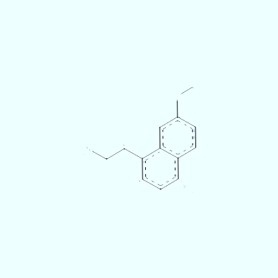 CCOc1ccc2cccc(CCN)c2c1.Cl